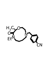 CCN1CCCCN(Cc2ccc(C#N)cc2)CCO[C@H](C)C1=O